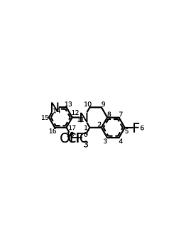 O=CC1c2ccc(F)cc2CCN1c1cnccc1C(F)(F)F